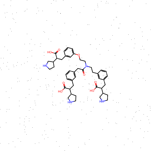 O=C(O)C(Cc1cccc(CCN(CCOc2cccc(CC(C(=O)O)C3CCNC3)c2)C(=O)Cc2cccc(CC(C(=O)O)C3CCNC3)c2)c1)C1CCNC1